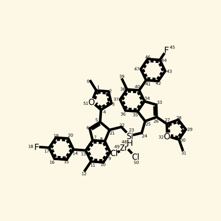 Cc1ccc(C2=Cc3c(ccc(C)c3-c3ccc(F)cc3)C2C[SiH](CC2C(c3ccc(C)o3)=Cc3c2ccc(C)c3-c2ccc(F)cc2)[Zr]([Cl])[Cl])o1